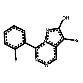 Oc1nn2c(-c3ccccc3F)nncc2c1Br